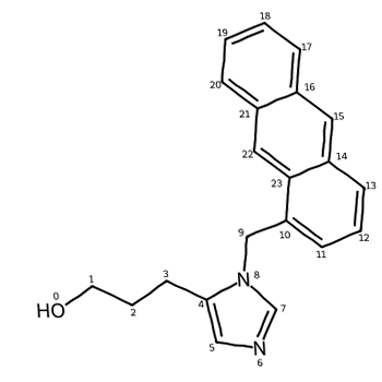 OCCCc1cncn1Cc1cccc2cc3ccccc3cc12